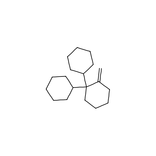 C=C1CCCCC1(C1CCCCC1)C1CCCCC1